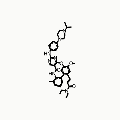 CCN(CC)C(=O)C=Cc1ccc(Oc2nc(Nc3ccc(N4CCN(C(C)C)CC4)cc3)ncc2C(=O)Nc2c(C)cccc2C)c(OC)c1